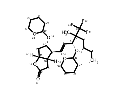 CCCCC(C)([C@@H](/C=C/[C@H]1[C@@H]2CC(=O)O[C@@H]2C[C@@H]1OC1CCCCO1)OC1CCCCO1)C(F)(F)F